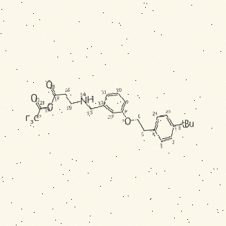 CC(C)(C)c1ccc(CCOc2cccc(CNCCC(=O)OC(=O)C(F)(F)F)c2)cc1